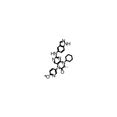 COc1ccc(N2C(=O)[C@@H](C)N(C3CCCCC3)c3nc(Nc4ccc5[nH]ncc5c4)ncc32)cn1